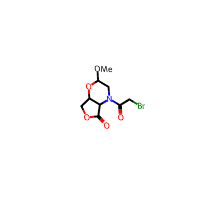 COC1CN(C(=O)CBr)C2C(=O)OCC2O1